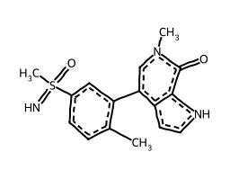 Cc1ccc(S(C)(=N)=O)cc1-c1cn(C)c(=O)c2[nH]ccc12